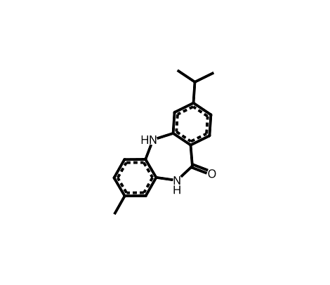 Cc1ccc2c(c1)NC(=O)c1ccc(C(C)C)cc1N2